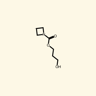 O=C(OCCCO)N1C[CH]C1